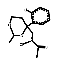 CC(=O)N(Cl)CC1(c2ccccc2Cl)CCOC(C)O1